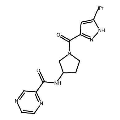 CC(C)c1cc(C(=O)N2CCC(NC(=O)c3cnccn3)C2)n[nH]1